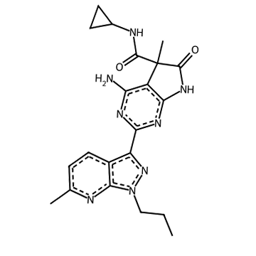 CCCn1nc(-c2nc(N)c3c(n2)NC(=O)C3(C)C(=O)NC2CC2)c2ccc(C)nc21